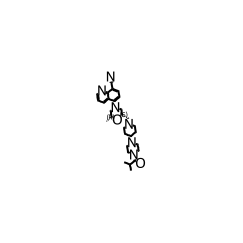 CC(C)C(=O)N1CCN(C2CCN(C[C@H]3CN(c4ccc(C#N)c5ncccc45)C[C@@H](C)O3)CC2)CC1